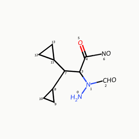 NN(C=O)C(C(=O)N=O)C(C1CC1)C1CC1